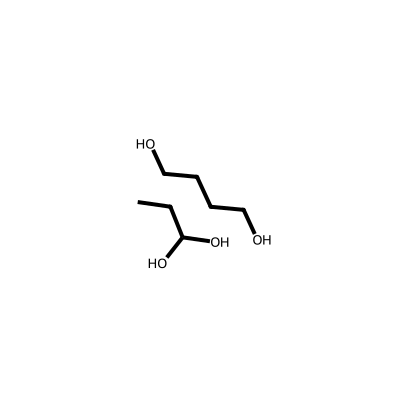 CCC(O)O.OCCCCO